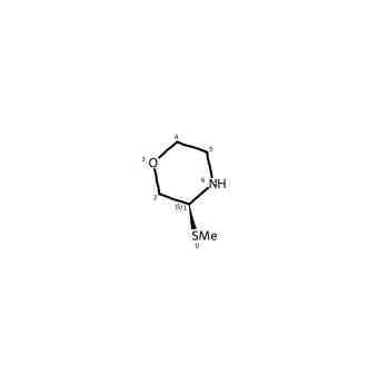 CS[C@H]1COCCN1